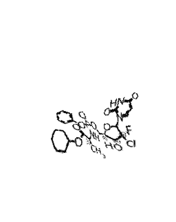 C[C@H](NP(=O)(OC[C@H]1OC(n2ccc(=O)[nH]c2=O)[C@@](F)(Cl)[C@@H]1O)Oc1ccccc1)C(=O)OC1CCCCC1